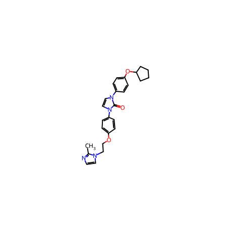 Cc1nccn1CCOc1ccc(-n2ccn(-c3ccc(OC4CCCC4)cc3)c2=O)cc1